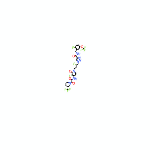 O=C(Nc1ccn(CCC(F)Cn2cc(C(=O)NCc3cc(OC(F)(F)F)ccc3F)nn2)c(=O)c1F)C(=O)N1CCC[C@@H](C(F)(F)F)C1